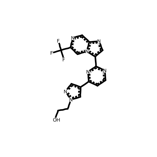 OCCn1cc(-c2ccnc(-c3cnc4cnc(C(F)(F)F)cn34)n2)cn1